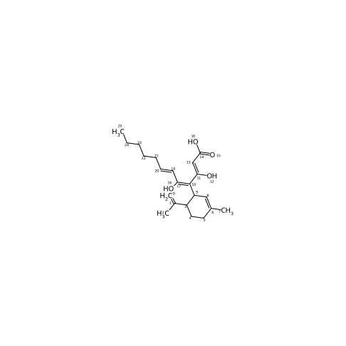 C=C(C)C1CCC(C)=CC1C(/C(O)=C/C(=O)O)=C(O)/C=C/CCCCC